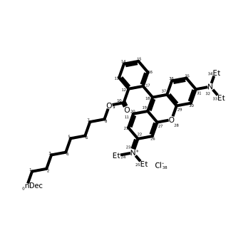 CCCCCCCCCCCCCCCCCCOC(=O)c1ccccc1-c1c2ccc(=[N+](CC)CC)cc-2oc2cc(N(CC)CC)ccc12.[Cl-]